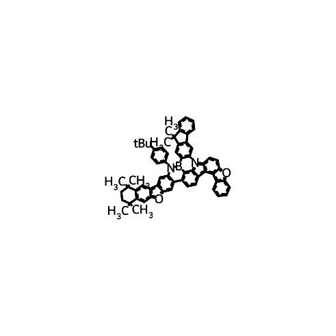 CC(C)(C)c1ccc(N2B3c4cc5c(cc4-n4c6ccc7oc8ccccc8c7c6c6ccc(c3c64)-c3cc4oc6cc7c(cc6c4cc32)C(C)(C)CCC7(C)C)-c2ccccc2C5(C)C)cc1